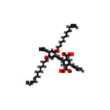 C#Cc1cc(OCCCCCCCCCC)c(C#Cc2cc(C(=O)O)c(C#CC)cc2C(=O)O)cc1OCCCCCCCCCC